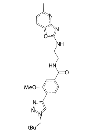 COc1cc(C(=O)NCCNc2nc3nc(C)ccc3o2)ccc1-c1cn(CC(C)(C)C)nn1